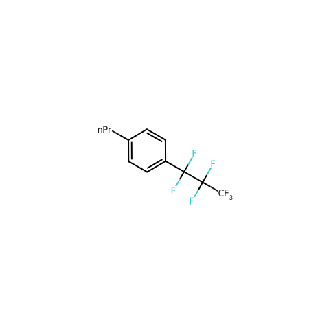 [CH2]CCc1ccc(C(F)(F)C(F)(F)C(F)(F)F)cc1